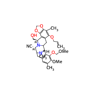 C=CCOc1c(C)c2c(c3c1CC1[C@H]4c5c(cc(C)c(OC)c5OCOC)CC([C@H](C#N)N1[C@H]3CO)N4C)OCO2